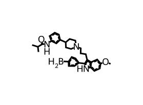 Bc1ccc(-c2[nH]c3ccc(OC)cc3c2CCCN2CCC(c3cccc(NC(=O)C(C)C)c3)CC2)cc1